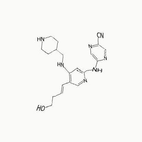 N#Cc1cnc(Nc2cc(NCC3CCNCC3)c(/C=C/CCO)cn2)cn1